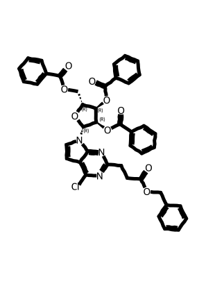 O=C(CCc1nc(Cl)c2ccn([C@@H]3O[C@H](COC(=O)c4ccccc4)[C@@H](OC(=O)c4ccccc4)[C@H]3OC(=O)c3ccccc3)c2n1)OCc1ccccc1